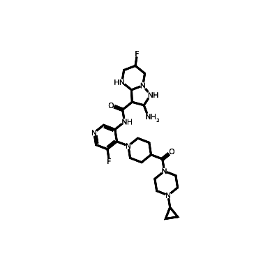 NC1NN2CC(F)CNC2C1C(=O)Nc1cncc(F)c1N1CCC(C(=O)N2CCN(C3CC3)CC2)CC1